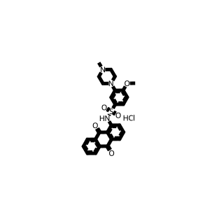 COc1ccc(S(=O)(=O)Nc2cccc3c2C(=O)c2ccccc2C3=O)cc1N1CCN(C)CC1.Cl